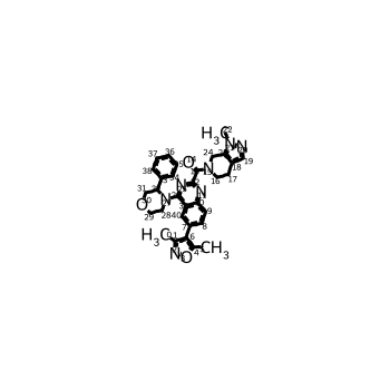 Cc1noc(C)c1-c1ccc2nc(C(=O)N3CCc4cnn(C)c4C3)nc(N3CCOCC3c3ccccc3)c2c1